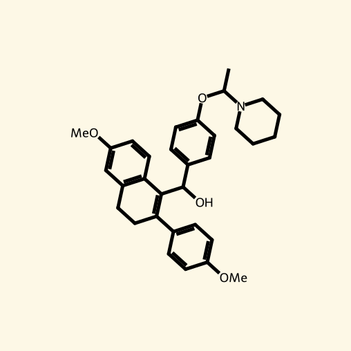 COc1ccc(C2=C(C(O)c3ccc(OC(C)N4CCCCC4)cc3)c3ccc(OC)cc3CC2)cc1